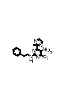 CCc1nc(NCCc2ccccc2)nc(C2(C)N=CC=N2)c1[N+](=O)[O-]